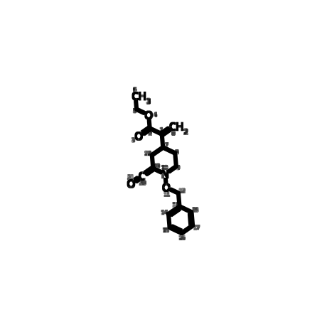 C=C(C(=O)OCC)C1CCN(OCc2ccccc2)C(=C=O)C1